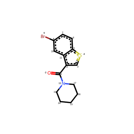 O=C(c1csc2ccc(Br)cc12)N1CCCCC1